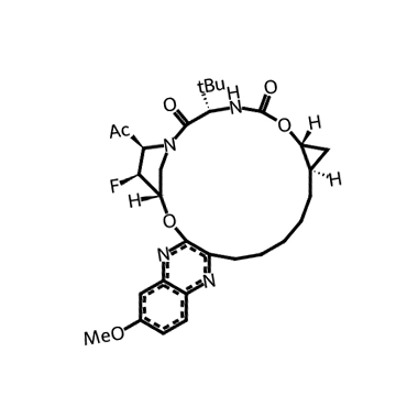 COc1ccc2nc3c(nc2c1)O[C@H]1CN(C(=O)[C@H](C(C)(C)C)NC(=O)O[C@@H]2C[C@H]2CCCCC3)[C@H](C(C)=O)[C@@H]1F